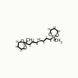 C[Si]1(CCCSCCC[Si]2(C)OCCCO2)OCCCO1